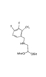 COC(CNCc1ccc(F)c(F)c1C)OC